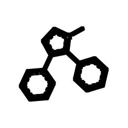 Cn1ccc(-c2ccccc2)c1-c1ccccc1